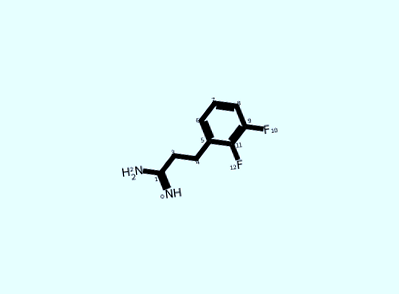 N=C(N)CCc1cccc(F)c1F